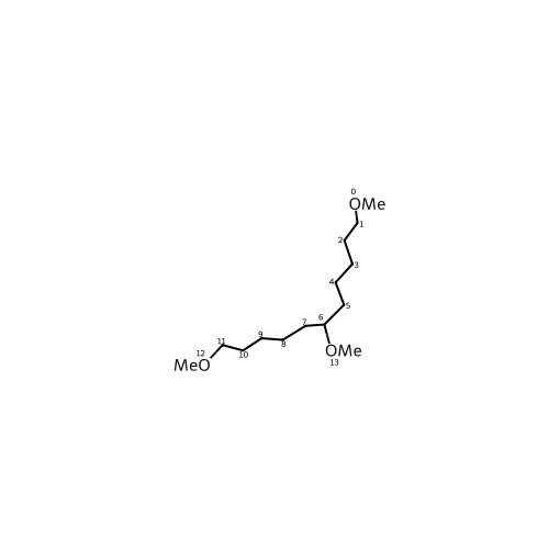 COCCCCCC(CCCCCOC)OC